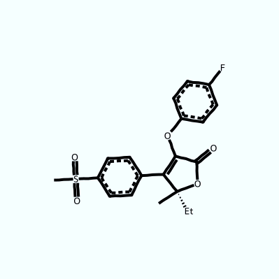 CC[C@@]1(C)OC(=O)C(Oc2ccc(F)cc2)=C1c1ccc(S(C)(=O)=O)cc1